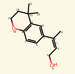 C/C(=C/CO)c1ccc2c(c1)C(C)(C)CCO2